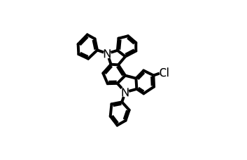 Clc1ccc2c(c1)c1c3c4ccccc4n(-c4ccccc4)c3ccc1n2-c1ccccc1